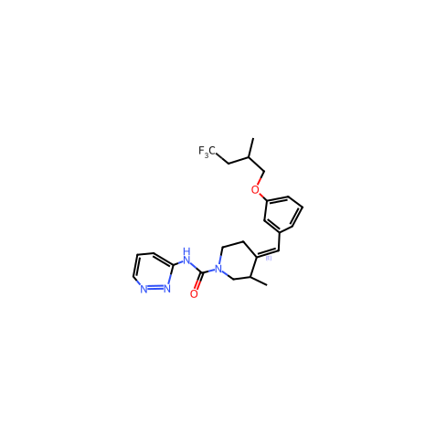 CC(COc1cccc(/C=C2\CCN(C(=O)Nc3cccnn3)CC2C)c1)CC(F)(F)F